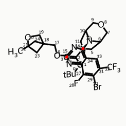 CC(C)(C)OC(=O)N1CC2COCC(C1)N2c1nc(OCC23COC(C)(C2)C3)nc2c(F)c(Br)c(C(F)(F)F)cc12